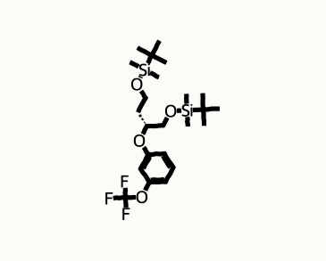 CC(C)(C)[Si](C)(C)OCC[C@H](CO[Si](C)(C)C(C)(C)C)Oc1cccc(OC(F)(F)F)c1